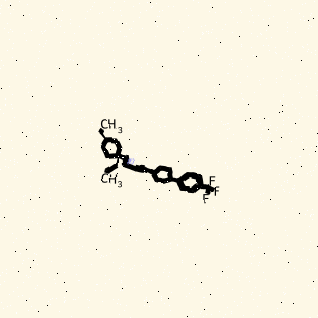 CCC[C@]1(/C=C/C#CC2CCC(c3ccc(C(F)(F)F)cc3)CC2)CC[C@H](CC)CC1